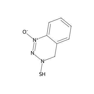 [O-][N+]1=NN(S)Cc2ccccc21